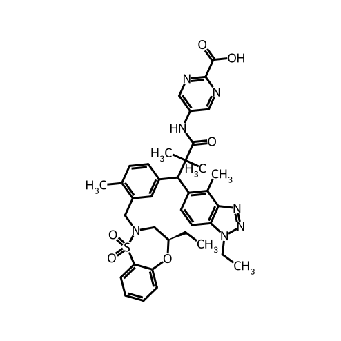 CC[C@@H]1CN(Cc2cc(C(c3ccc4c(nnn4CC)c3C)C(C)(C)C(=O)Nc3cnc(C(=O)O)nc3)ccc2C)S(=O)(=O)c2ccccc2O1